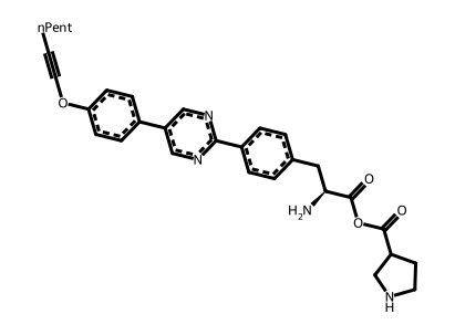 CCCCCC#COc1ccc(-c2cnc(-c3ccc(C[C@H](N)C(=O)OC(=O)C4CCNC4)cc3)nc2)cc1